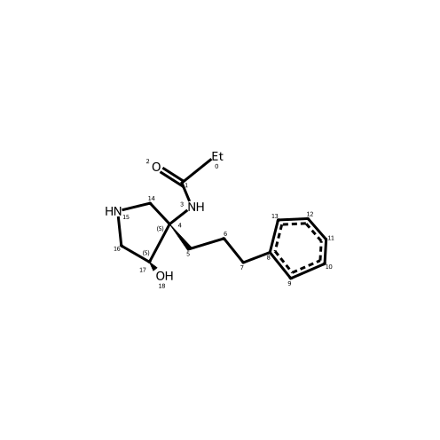 CCC(=O)N[C@@]1(CCCc2ccccc2)CNC[C@@H]1O